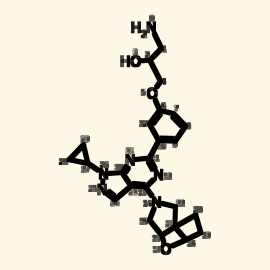 NCC(O)COc1cccc(-c2nc(N3CC4OC5CCC54C3)c3cnn(C4CC4)c3n2)c1